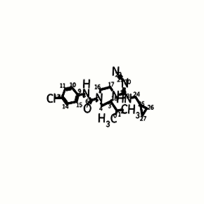 CC(C)C1CN(C(=O)Nc2ccc(Cl)cc2)CCN1/C(=N\C#N)NCC1CC1